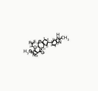 Cc1nc2ccc(-c3ccc4c(c3)CN(C(=O)c3cnn(C)c3OCC(F)F)CCO4)cc2[nH]1